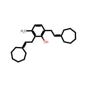 Cc1ccc(CC=C2CCCCCC2)c(O)c1CC=C1CCCCCC1